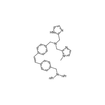 CCCN(CCC)Cc1ccc(/C=C\c2ccc(CN(Cc3ncc[nH]3)Cc3nccn3C)cc2)cc1